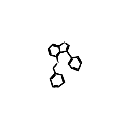 [c]1sc2cccc(SCc3ccccc3)c2c1-c1ccccc1